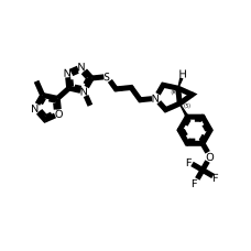 Cc1ncoc1-c1nnc(SCCCN2C[C@@H]3C[C@]3(c3ccc(OC(F)(F)F)cc3)C2)n1C